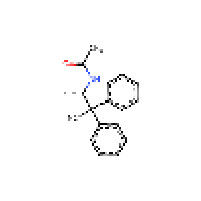 C[C@H](NC(=O)C(F)(F)F)C(C#N)(c1ccccc1)c1ccccc1